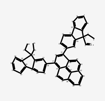 CCC1(C=S)c2ccccc2-c2ccc(-c3cc(-c4ccc5c(c4)C(CC)(CC)c4ccccc4-5)c4ccc5cccc6ccc3c4c65)cc21